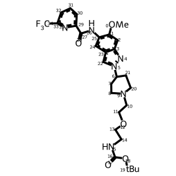 COc1cc2nn(C3CCN(CCOCCNC(=O)OC(C)(C)C)CC3)cc2cc1NC(=O)c1cccc(C(F)(F)F)n1